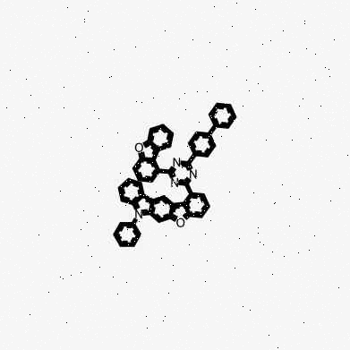 c1ccc(-c2ccc(-c3nc(-c4cccc5oc6ccccc6c45)nc(-c4cccc5oc6cc7c(cc6c45)c4ccccc4n7-c4ccccc4)n3)cc2)cc1